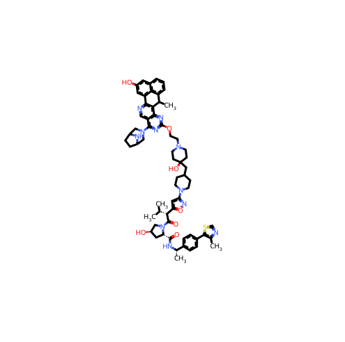 Cc1ncsc1-c1ccc([C@H](C)NC(=O)[C@@H]2C[C@@H](O)CN2C(=O)[C@@H](c2cc(N3CCC(CC4(O)CCN(CCOc5nc(N6CC7CCC(C6)N7)c6cnc7c(c6n5)C(C)c5cccc6cc(O)cc-7c56)CC4)CC3)no2)C(C)C)cc1